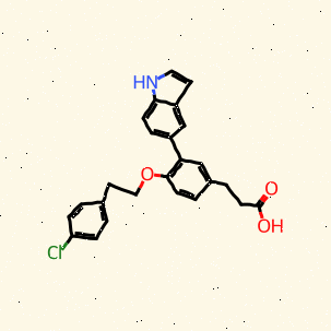 O=C(O)CCc1ccc(OCCc2ccc(Cl)cc2)c(-c2ccc3[nH]ccc3c2)c1